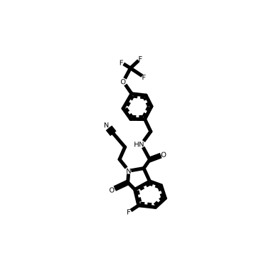 N#CCCN1C(=O)c2c(F)cccc2C1C(=O)NCc1ccc(OC(F)(F)F)cc1